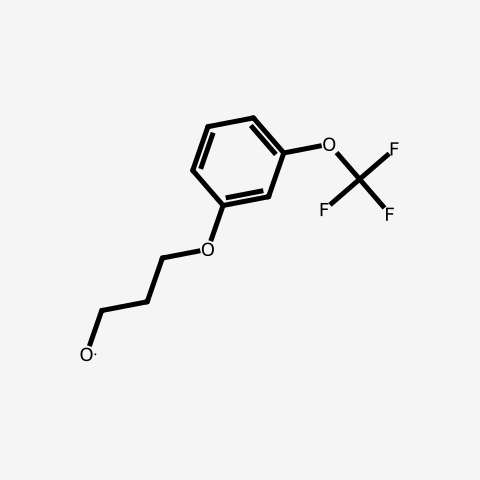 [O]CCCOc1cccc(OC(F)(F)F)c1